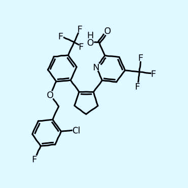 O=C(O)c1cc(C(F)(F)F)cc(C2=C(c3cc(C(F)(F)F)ccc3OCc3ccc(F)cc3Cl)CCC2)n1